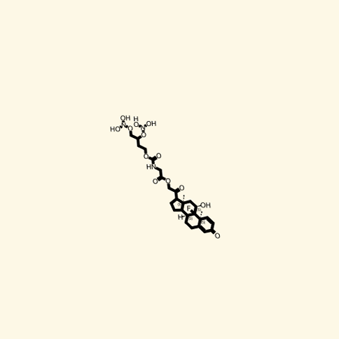 C[C@]12C[C@H](O)C3(F)[C@@H](CCC4=CC(=O)C=C[C@@]43C)C1CCC2C(=O)COC(=O)CNC(=O)OCCC(CON(O)O)ON(O)O